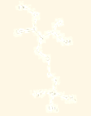 CC(C)(C)OC(=O)N(COCC[Si](C)(C)C)C(=N)S